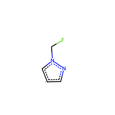 FCn1c[c]cn1